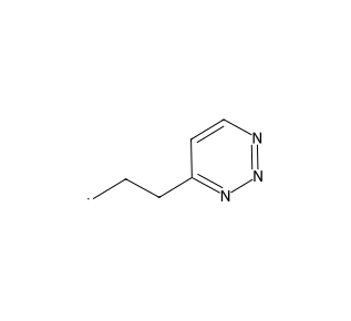 [CH2]CCc1ccnnn1